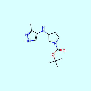 Cc1n[nH]cc1NC1CCN(C(=O)OC(C)(C)C)C1